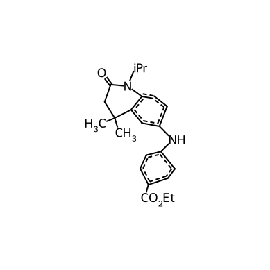 CCOC(=O)c1ccc(Nc2ccc3c(c2)C(C)(C)CC(=O)N3C(C)C)cc1